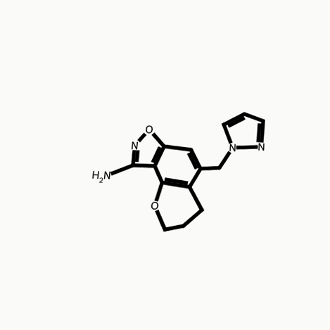 Nc1noc2cc(Cn3cccn3)c3c(c12)OCCC3